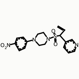 C=CC(c1cccnc1)S(=O)(=O)N1CCN(c2ccc([N+](=O)[O-])cc2)CC1